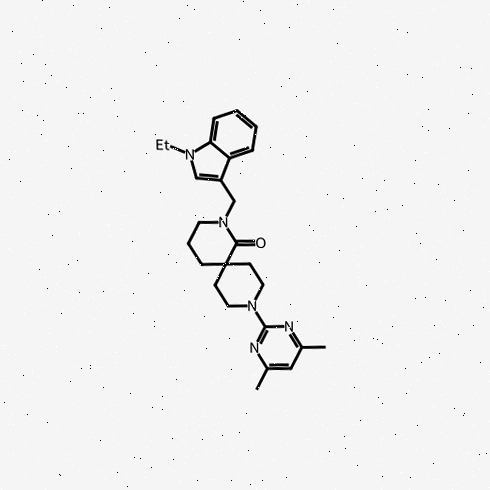 CCn1cc(CN2CCCC3(CCN(c4nc(C)cc(C)n4)CC3)C2=O)c2ccccc21